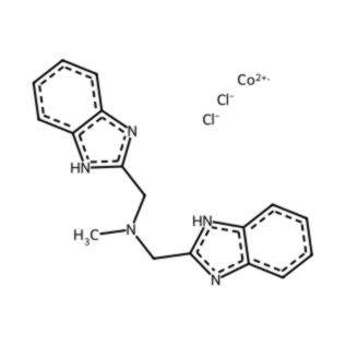 CN(Cc1nc2ccccc2[nH]1)Cc1nc2ccccc2[nH]1.[Cl-].[Cl-].[Co+2]